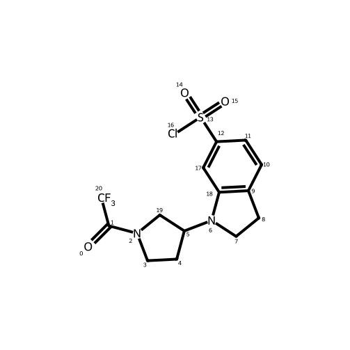 O=C(N1CCC(N2CCc3ccc(S(=O)(=O)Cl)cc32)C1)C(F)(F)F